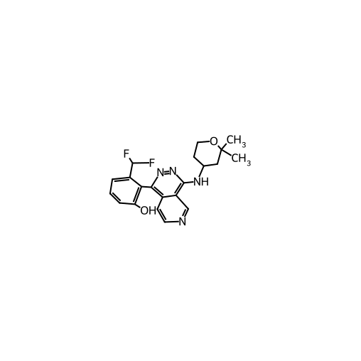 CC1(C)CC(Nc2nnc(-c3c(O)cccc3C(F)F)c3ccncc23)CCO1